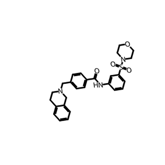 O=C(Nc1cccc(S(=O)(=O)N2CCOCC2)c1)c1ccc(CN2CCc3ccccc3C2)cc1